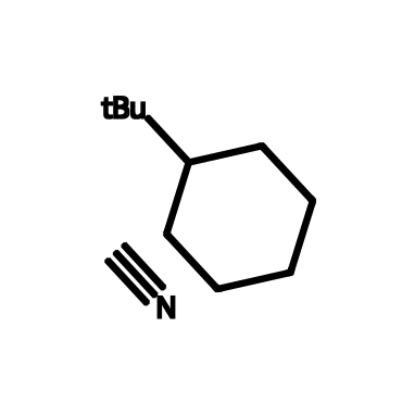 C#N.CC(C)(C)C1CCCCC1